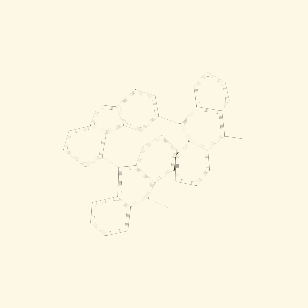 Cc1c2ccccc2c(-c2ccc3sc4cccc(-c5c6ccccc6c(C)c6ccccc56)c4c3c2)c2ccccc12